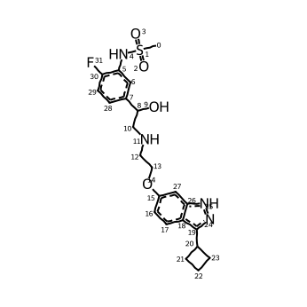 CS(=O)(=O)Nc1cc(C(O)CNCCOc2ccc3c(C4CCC4)n[nH]c3c2)ccc1F